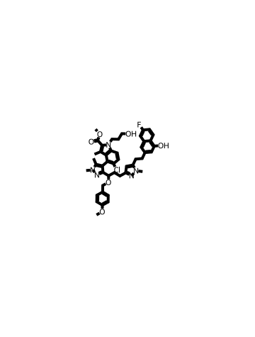 COC(=O)c1c(C)c2c(-c3c(C(CCc4cc(CCc5cc(O)c6ccc(F)cc6c5)n(C)n4)OCc4ccc(OC)cc4)nn(C)c3C)c(Cl)ccc2n1CCCO